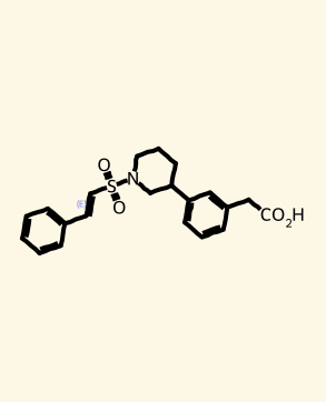 O=C(O)Cc1cccc(C2CCCN(S(=O)(=O)/C=C/c3ccccc3)C2)c1